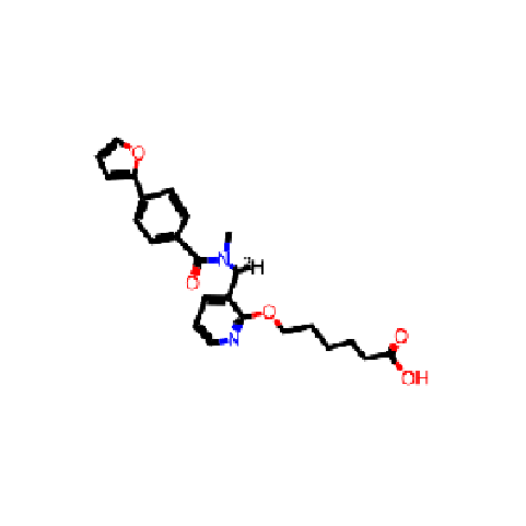 [2H]C(c1cccnc1OCCCCCC(=O)O)N(C)C(=O)c1ccc(-c2ccco2)cc1